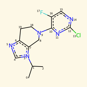 CC(C)n1cnc2c1CN(c1nc(Cl)ncc1F)CC2